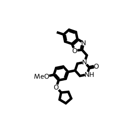 COc1ccc(C2CNC(=O)N(Cc3nc4ccc(C)cc4o3)C2)cc1OC1CCCC1